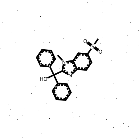 Cn1c(C(O)(c2ccccc2)c2ccccc2)nc2ccc(S(C)(=O)=O)cc21